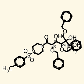 Cc1ccc(S(=O)(=O)N2CCN(C(=O)[C@H](OCc3ccccc3)[C@@H](O)[C@H](OCc3ccccc3)C(O)(COCc3ccccc3)[C@@H](C)O)CC2)cc1